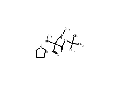 CNCC(NC)(C(=O)OC(C)(C)C)C(=O)[C@@H]1CCCN1